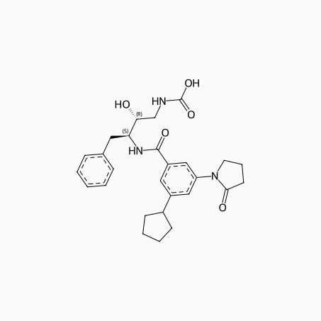 O=C(O)NC[C@@H](O)[C@H](Cc1ccccc1)NC(=O)c1cc(C2CCCC2)cc(N2CCCC2=O)c1